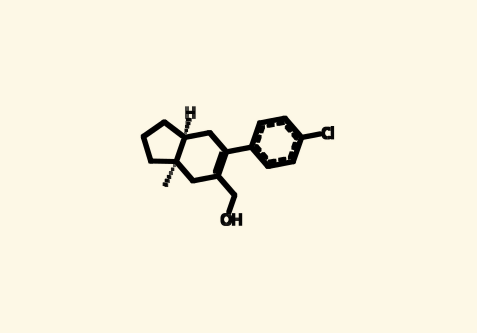 C[C@]12CCC[C@H]1CC(c1ccc(Cl)cc1)=C(CO)C2